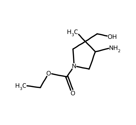 CCOC(=O)N1CC(N)C(C)(CO)C1